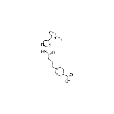 CC(C)c1cnc(NC(=O)CCCc2ccc([N+](=O)[O-])cc2)s1